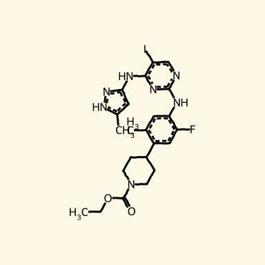 CCOC(=O)N1CCC(c2cc(F)c(Nc3ncc(I)c(Nc4cc(C)[nH]n4)n3)cc2C)CC1